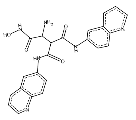 NC(C(=O)NO)C(C(=O)Nc1ccc2ncccc2c1)C(=O)Nc1ccc2ncccc2c1